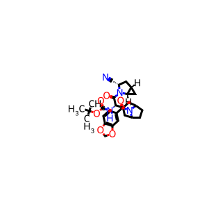 CC(C)(C)OC(=O)N[C@H](C(=O)N1[C@H](C#N)C[C@@H]2C[C@@H]21)C1CC2CCC(C1)N2C(=O)c1ccc2c(c1)OCO2